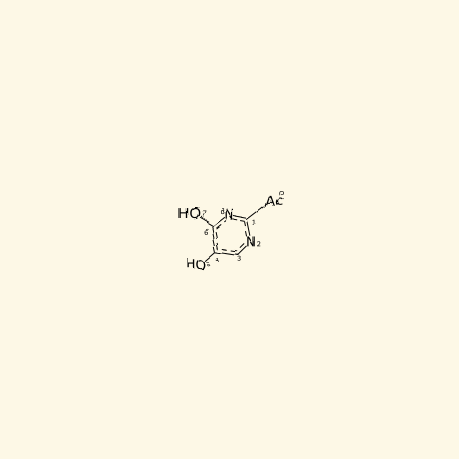 CC(=O)c1ncc(O)c(O)n1